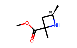 COC(=O)C1(C)C[C@@H](C)N1